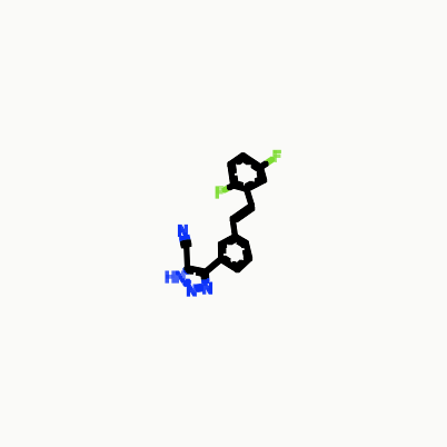 N#Cc1[nH]nnc1-c1cccc(/C=C/c2cc(F)ccc2F)c1